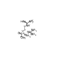 N=C(N)NCCCC(N)C(=O)O.NC(N)=O